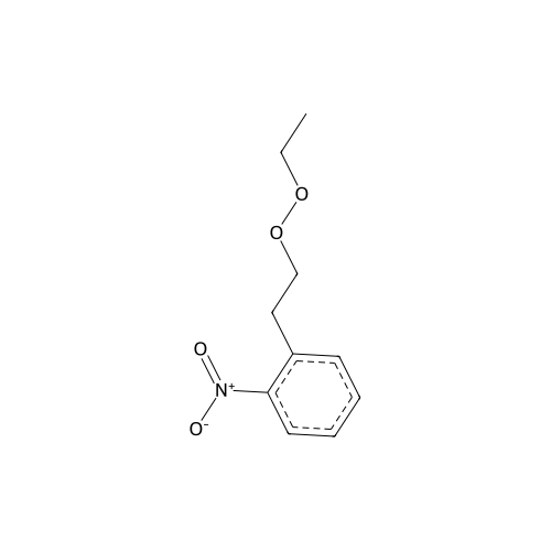 CCOOCCc1ccccc1[N+](=O)[O-]